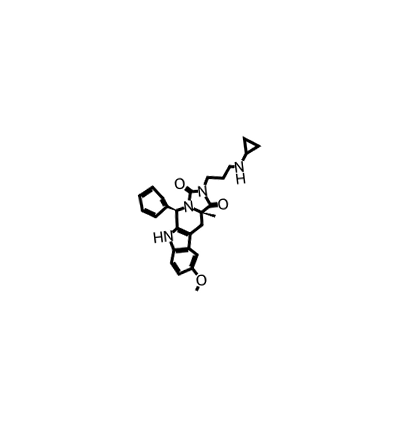 COc1ccc2[nH]c3c(c2c1)C[C@@]1(C)C(=O)N(CCCNC2CC2)C(=O)N1[C@@H]3c1ccccc1